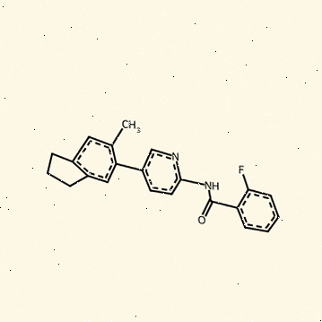 Cc1cc2c(cc1-c1ccc(NC(=O)c3ccccc3F)nc1)CCC2